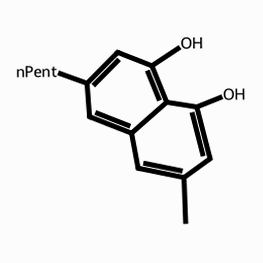 CCCCCc1cc(O)c2c(O)cc(C)cc2c1